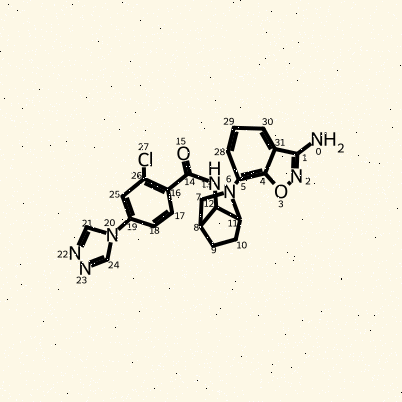 Nc1noc2c(N3CC4CCC3C4NC(=O)c3ccc(-n4cnnc4)cc3Cl)cccc12